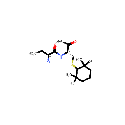 COC(=O)[C@H](CSC1C(C)(C)CCCC1(C)C)NC(=O)[C@@H](N)CC(=O)O